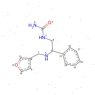 NC(=O)NCC(NCc1ccoc1)c1ccccc1